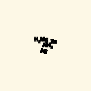 [Ag].[AlH3].[MgH2].[Zn]